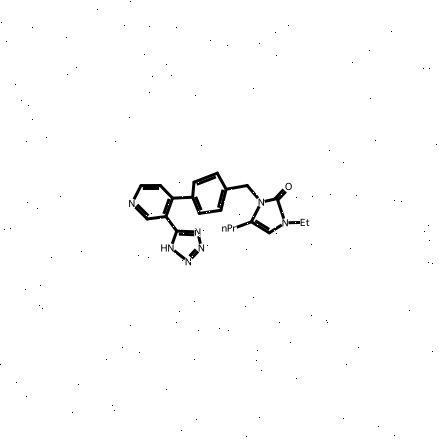 CCCc1cn(CC)c(=O)n1Cc1ccc(-c2ccncc2-c2nnn[nH]2)cc1